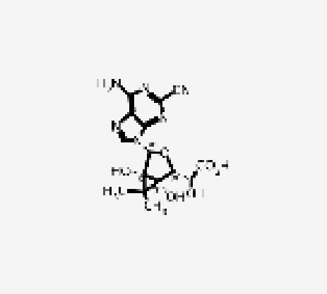 CC1(C)[C@]2(O)[C@@H](C(O)C(=O)O)O[C@@H](n3cnc4c(N)nc(C#N)nc43)[C@]12O